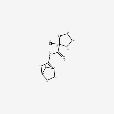 O=C(OC1=C2CCC(C2)C1)C1(Cl)OCCS1